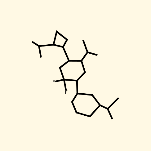 CC(C)C1CCCC(C2CC(C(C)C)C(C3CCC3C(C)C)CC2(F)F)C1